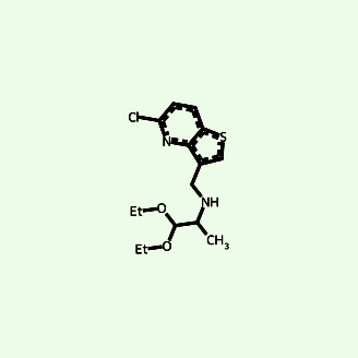 CCOC(OCC)C(C)NCc1csc2ccc(Cl)nc12